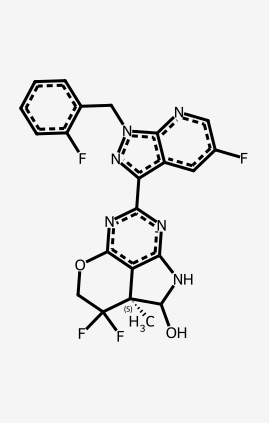 C[C@@]12c3c(nc(-c4nn(Cc5ccccc5F)c5ncc(F)cc45)nc3OCC1(F)F)NC2O